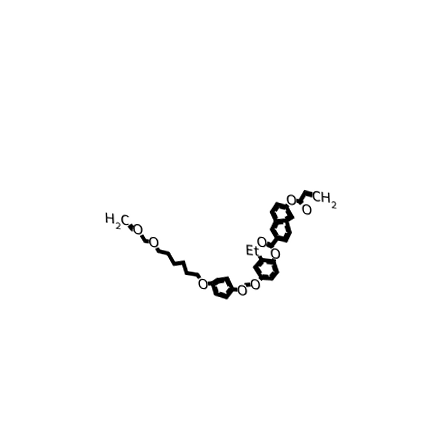 C=COCOCCCCCCOc1ccc(OCOc2ccc(OC(=O)c3ccc4cc(OC(=O)C=C)ccc4c3)c(CC)c2)cc1